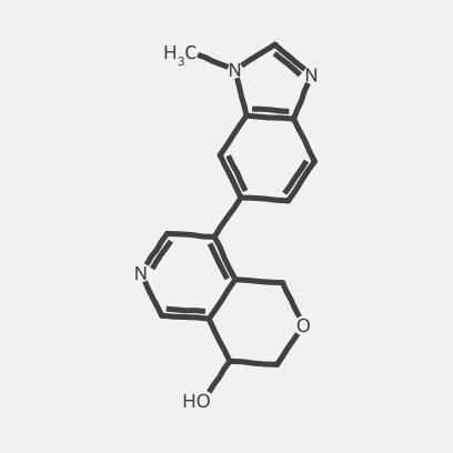 Cn1cnc2ccc(-c3cncc4c3COCC4O)cc21